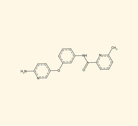 Cc1cccc(C(=O)Nc2cccc(Oc3ccc(N)nc3)c2)n1